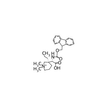 CCC[C@]1([C@H](NC(=O)OCC2c3ccccc3-c3ccccc32)C(=O)O)CCC[N+](C)(C)C1